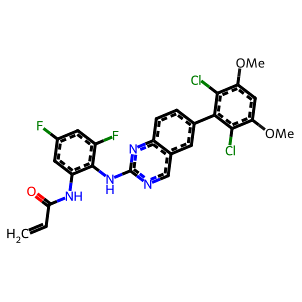 C=CC(=O)Nc1cc(F)cc(F)c1Nc1ncc2cc(-c3c(Cl)c(OC)cc(OC)c3Cl)ccc2n1